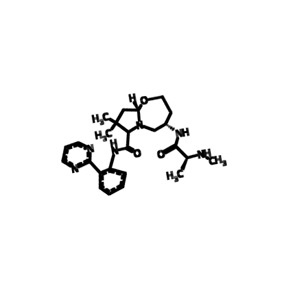 CN[C@@H](C)C(=O)N[C@H]1CCO[C@H]2CC(C)(C)C(C(=O)Nc3ccccc3-c3ncccn3)N2C1